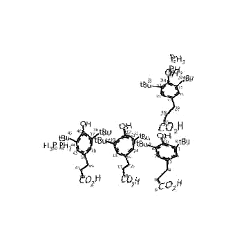 CC(C)(C)c1cc(CCC(=O)O)cc(C(C)(C)C)c1O.CC(C)(C)c1cc(CCC(=O)O)cc(C(C)(C)C)c1O.CC(C)(C)c1cc(CCC(=O)O)cc(C(C)(C)C)c1O.CC(C)(C)c1cc(CCC(=O)O)cc(C(C)(C)C)c1O.P.P.P.P